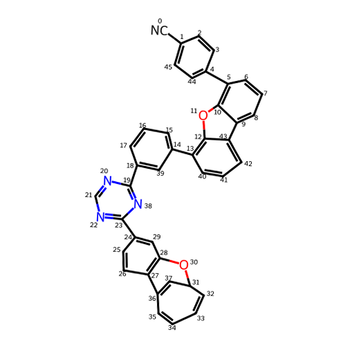 N#Cc1ccc(-c2cccc3c2oc2c(-c4cccc(-c5ncnc(-c6ccc7c(c6)OC6C=CC=CC7=C6)n5)c4)cccc23)cc1